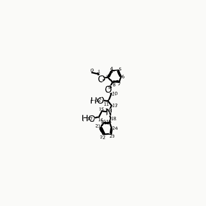 CCOc1ccccc1OCC(O)CN(CCO)Cc1cc#ccc1